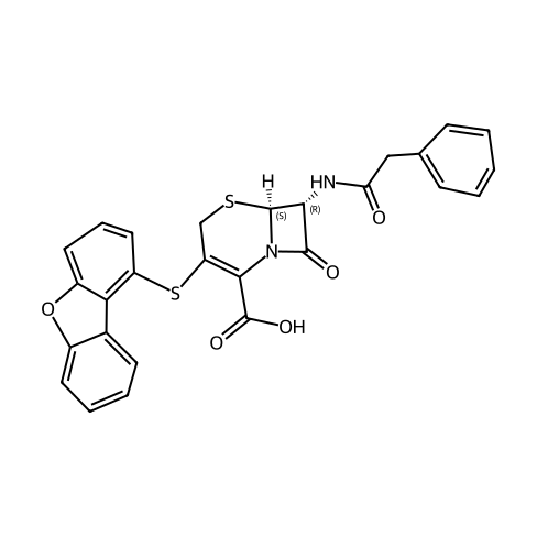 O=C(Cc1ccccc1)N[C@@H]1C(=O)N2C(C(=O)O)=C(Sc3cccc4oc5ccccc5c34)CS[C@@H]12